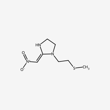 CSCCN1CCNC1=C[N+](=O)[O-]